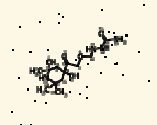 CC1(C)CC(O)(C(=O)COCNNC(N)=O)CC(C)(C)N1